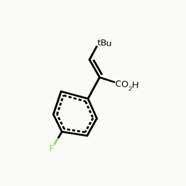 CC(C)(C)C=C(C(=O)O)c1ccc(F)cc1